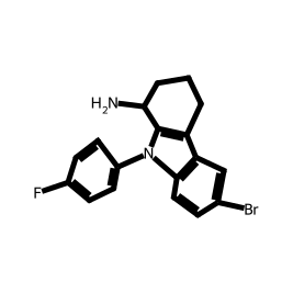 NC1CCCc2c1n(-c1ccc(F)cc1)c1ccc(Br)cc21